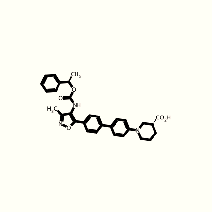 Cc1noc(-c2ccc(-c3ccc(N4CCC[C@@H](C(=O)O)C4)cc3)cc2)c1NC(=O)O[C@H](C)c1ccccc1